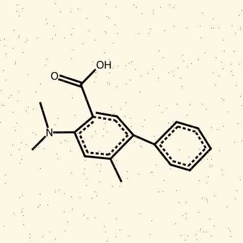 Cc1cc(N(C)C)c(C(=O)O)cc1-c1ccccc1